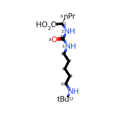 CCC[C@H](NC(=O)NCCCCCNC(C)(C)C)C(=O)O